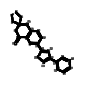 CCC1(CC)CC(=O)c2cc(-c3nc(-c4cccnc4)ns3)ccc2O1